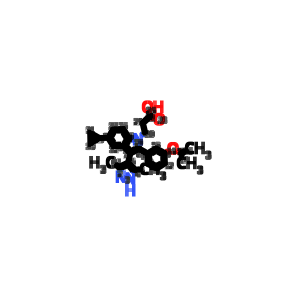 Cc1n[nH]c(C)c1-c1c(-c2cccc(OC(C)C)c2)n(CCC(=O)O)c2ccc(C3CC3)cc12